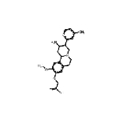 COc1cc2c(cc1OCC(=O)O)CCN1CC(c3cc(C)ccn3)C(N)CC21